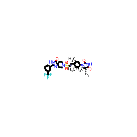 Cc1cc(N2C(=O)NC(=O)C2(C)C)cc(C)c1/C=C/S(=O)(=O)N1CCC2(CC1)N=C(c1cccc(C(F)(F)F)c1)NC2=O